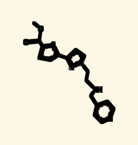 COC(=O)c1ccc(-c2ccn(CCNCc3ccncc3)n2)s1